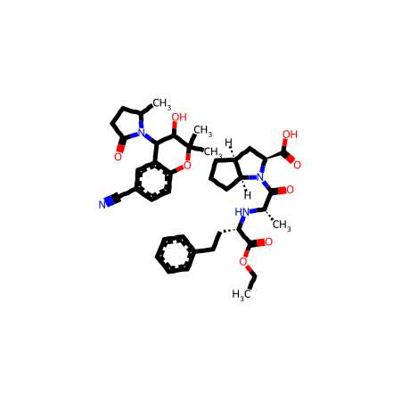 CC1CCC(=O)N1C1c2cc(C#N)ccc2OC(C)(C)C1O.CCOC(=O)[C@H](CCc1ccccc1)N[C@@H](C)C(=O)N1[C@H](C(=O)O)C[C@@H]2CCC[C@@H]21